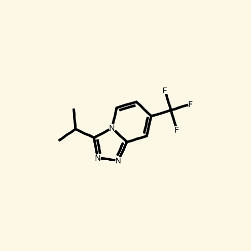 CC(C)c1nnc2cc(C(F)(F)F)ccn12